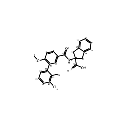 COc1ccc(C(=O)NC2(C(=O)O)Cc3ccccc3C2)cc1-c1cccc(Cl)c1C